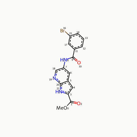 COC(=O)c1cc2cc(NC(=O)c3cccc(Br)c3)cnc2[nH]1